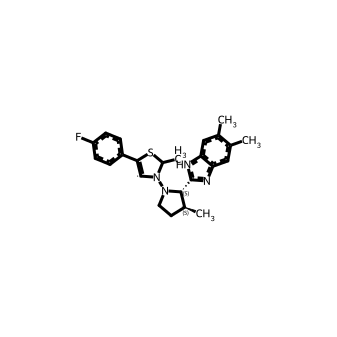 Cc1cc2nc([C@@H]3[C@@H](C)CCN3N3[C]=C(c4ccc(F)cc4)SC3C)[nH]c2cc1C